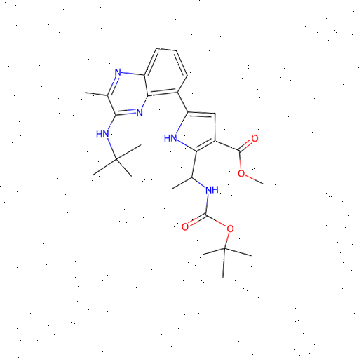 COC(=O)c1cc(-c2cccc3nc(C)c(NC(C)(C)C)nc23)[nH]c1C(C)NC(=O)OC(C)(C)C